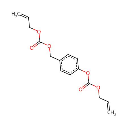 C=CCOC(=O)OCc1ccc(OC(=O)OCC=C)cc1